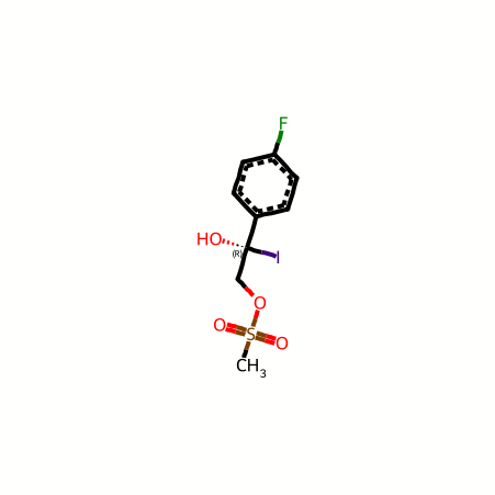 CS(=O)(=O)OC[C@](O)(I)c1ccc(F)cc1